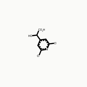 O=C(O)C(O)c1cc(Cl)nc(Cl)c1